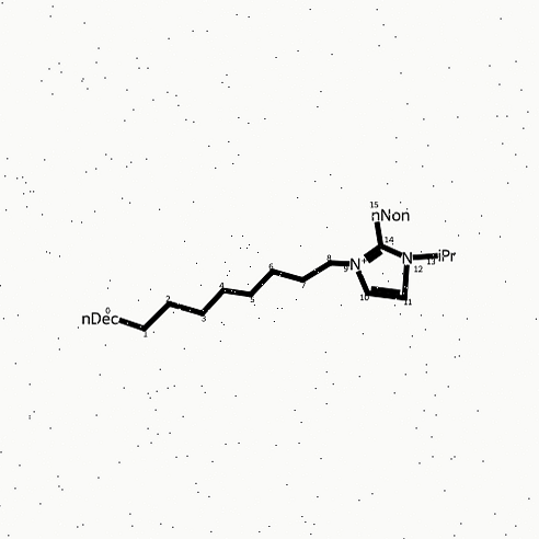 CCCCCCCCCCCCCCCCCC[n+]1ccn(C(C)C)c1CCCCCCCCC